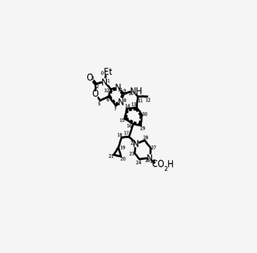 CCN1C(=O)OCc2cnc(NC(C)c3ccc(C(CC4CC4)N4CCN(C(=O)O)CC4)cc3)nc21